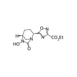 CCOC(=O)c1noc([C@@H]2CC[C@@H]3CN2C(=O)N3O)n1